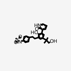 CC(C)(CO)c1cc(CCc2ccc(NS(C)(=O)=O)cc2)c(O)c(-c2ccc[nH]c2=O)c1